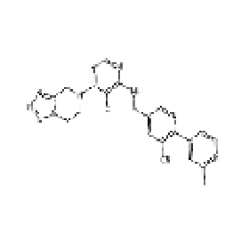 Cc1cc(-c2ncc(CNc3ncnc(N4CCn5nnnc5C4)c3F)cc2C#N)ccn1